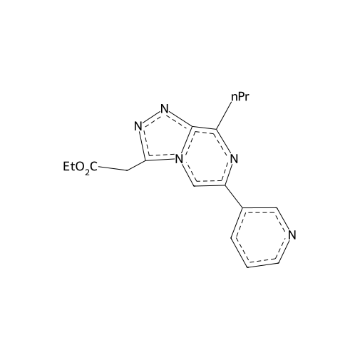 CCCc1nc(-c2cccnc2)cn2c(CC(=O)OCC)nnc12